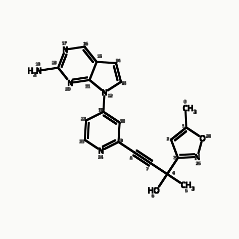 Cc1cc(C(C)(O)C#Cc2cc(-n3ccc4cnc(N)nc43)ccn2)no1